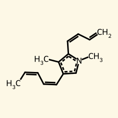 C=C/C=C\c1c(C)c(/C=C\C=C/C)cn1C